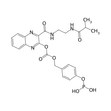 CC(C)C(=O)NCCNC(=O)c1nc2ccccc2nc1OC(=O)OCc1ccc(OP(O)O)cc1